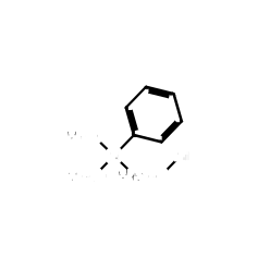 CO[SiH3].CO[Si](OC)(OC)c1ccccc1